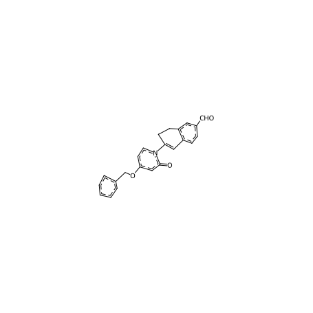 O=Cc1ccc2c(c1)CCC(n1ccc(OCc3ccccc3)cc1=O)=C2